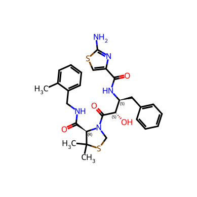 Cc1ccccc1CNC(=O)[C@H]1N(C(=O)[C@@H](O)[C@H](Cc2ccccc2)NC(=O)c2csc(N)n2)CSC1(C)C